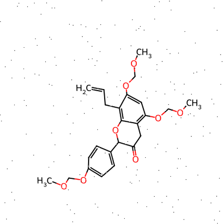 C=CCc1c(OCOC)cc(OCOC)c2c1OC(c1ccc(OCOC)cc1)C(=O)C2